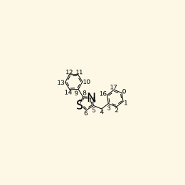 c1ccc(Cc2csc(-c3ccccc3)n2)cc1